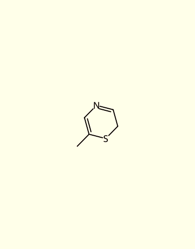 CC1=CN=CCS1